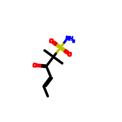 CC=CC(=O)C(C)(C)S(N)(=O)=O